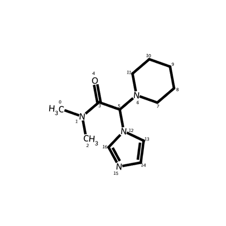 CN(C)C(=O)C(N1CCCCC1)n1ccnc1